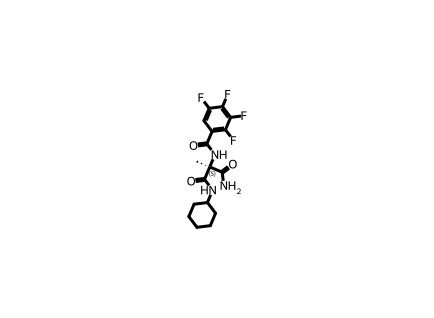 C[C@](NC(=O)c1cc(F)c(F)c(F)c1F)(C(N)=O)C(=O)NC1CCCCC1